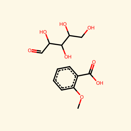 COc1ccccc1C(=O)O.O=CC(O)C(O)C(O)CO